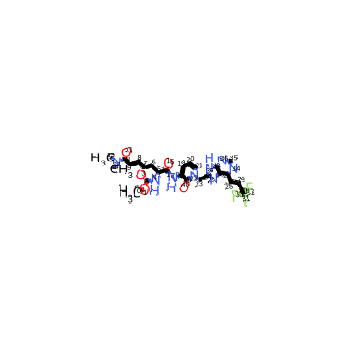 COC(=O)NC(CCC=CC(=O)N(C)C)C(=O)Nc1cccn(Cc2nc3c(CCC(F)(F)F)ncnc3[nH]2)c1=O